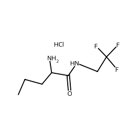 CCCC(N)C(=O)NCC(F)(F)F.Cl